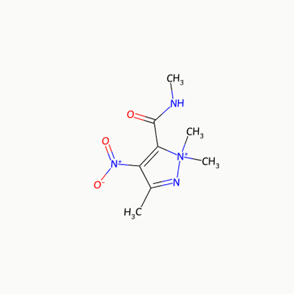 CNC(=O)C1=C([N+](=O)[O-])C(C)=N[N+]1(C)C